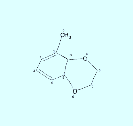 CC1=CC=CC2OCCOC12